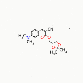 CN(C)c1ccc(/C=C(/C#N)C(=O)OCC2COC(C)(C)O2)cc1